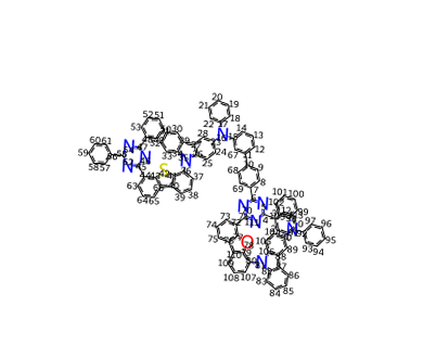 c1ccc(-c2nc(-c3ccc(-c4cccc(N(c5ccccc5)c5ccc6c(c5)c5ccccc5n6-c5cccc6c5sc5c(-c7nc(-c8ccccc8)nc(-c8ccccc8)n7)cccc56)c4)cc3)nc(-c3cccc4c3oc3c(-n5c6ccccc6c6cc(N(c7ccccc7)c7ccccc7)ccc65)cccc34)n2)cc1